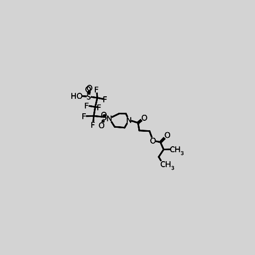 CCC(C)C(=O)OCCC(=O)N1CCN(S(=O)(=O)C(F)(F)C(F)(F)C(F)(F)S(=O)(=O)O)CC1